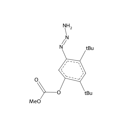 COC(=O)Oc1cc(N=NN)c(C(C)(C)C)cc1C(C)(C)C